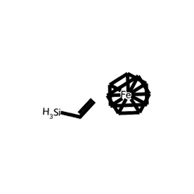 C=C[SiH3].[CH]12[CH]3[CH]4[CH]5[CH]1[Fe]23451678[CH]2[CH]1[CH]6[CH]7[CH]28